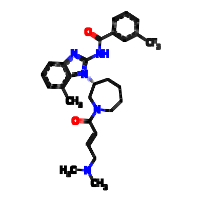 Cc1cccc2nc(NC(=O)c3cccc(C(F)(F)F)c3)n([C@@H]3CCCCN(C(=O)C=CCN(C)C)C3)c12